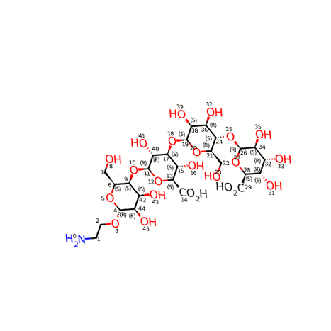 NCCO[C@@H]1O[C@@H](CO)[C@@H](O[C@@H]2O[C@H](C(=O)O)[C@@H](O)[C@H](O[C@@H]3O[C@H](CO)[C@@H](O[C@@H]4O[C@H](C(=O)O)[C@@H](O)[C@@H](O)[C@@H]4O)[C@H](O)[C@@H]3O)[C@H]2O)[C@@H](O)[C@H]1O